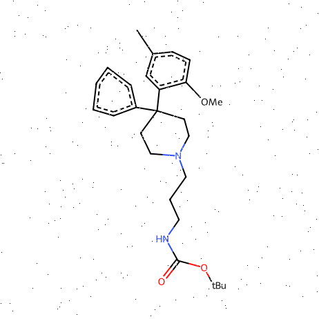 COc1ccc(C)cc1C1(c2ccccc2)CCN(CCCNC(=O)OC(C)(C)C)CC1